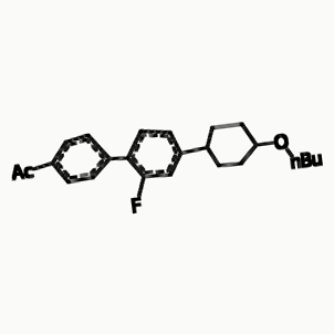 CCCCOC1CCC(c2ccc(-c3ccc(C(C)=O)cc3)c(F)c2)CC1